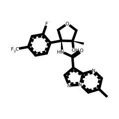 Cc1cnc2c(C(=O)N[C@@]3(c4ccc(C(F)(F)F)cc4F)COC[C@]3(C)O)cnn2c1